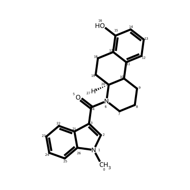 Cn1cc(C(=O)N2CCCC3c4cccc(O)c4CC[C@@H]32)c2ccccc21